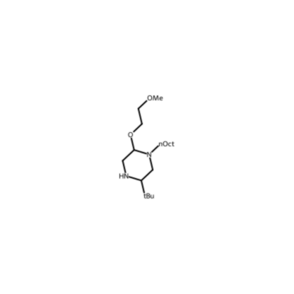 CCCCCCCCN1CC(C(C)(C)C)NCC1OCCOC